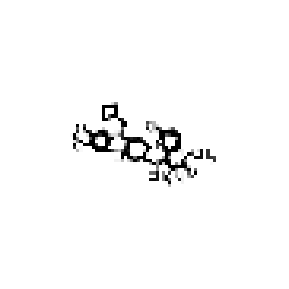 Cc1cc2c(cc1N(CC1CCC1)C1CCC(N(C)c3c(C#N)c(=O)n(C)c4ccc(Cl)nc34)CC1)OCO2